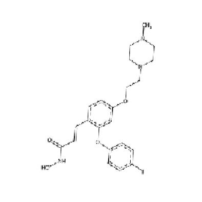 CN1CCN(CCOc2ccc(/C=C/C(=O)NO)c(Oc3ccc(F)cc3)c2)CC1